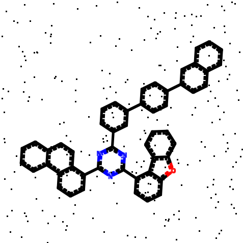 c1cc(-c2ccc(-c3ccc4ccccc4c3)cc2)cc(-c2nc(-c3cccc4c3ccc3ccccc34)nc(-c3cccc4oc5ccccc5c34)n2)c1